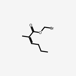 CCCC=C(C)C(=O)OCBr